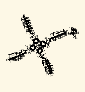 C[Si](C)(CCC(F)(F)C(F)(F)C(F)(F)C(F)(F)C(F)(F)C(F)(F)F)c1ccc([B-](c2ccc([Si](C)(C)CCC(F)(F)C(F)(F)C(F)(F)C(F)(F)C(F)(F)C(F)(F)F)cc2)(c2ccc([Si](C)(C)CCC(F)(F)C(F)(F)C(F)(F)C(F)(F)C(F)(F)C(F)(F)F)cc2)c2ccc([Si](C)(C)CCC(F)(F)C(F)(F)C(F)(F)C(F)(F)C(F)(F)C(F)(F)F)cc2)cc1.Cc1n(C)cc[n+]1C